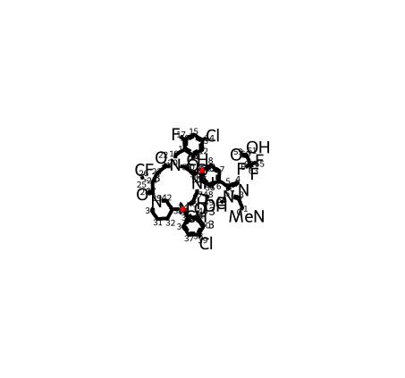 CNCc1ncc(-c2ccc(Oc3cc(Cl)cc(F)c3CN3C(=O)C[C@@H](CC(F)(F)F)C(=O)N4CCC[C@@](Cc5ccc(Cl)cc5)(C4)N(C)C(=O)[C@H](CO)NC(=O)[C@@H]3C)cc2)n1C.O=C(O)C(F)(F)F